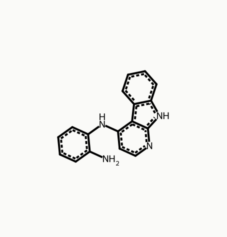 Nc1ccccc1Nc1ccnc2[nH]c3ccccc3c12